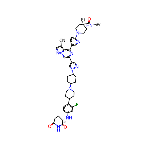 CCC1(C(=O)NC(C)C)CCN(c2ccc(-c3nc(-c4cnn(C5CCC(N6CCC(c7ccc(N[C@H]8CCC(=O)NC8=O)cc7F)CC6)CC5)c4)cn4ncc(C#N)c34)cn2)CC1